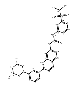 C[C@@H]1CN(c2cccc(-c3ccc4cnc(CC(=O)Nc5cccc(S(=O)(=O)C(F)F)c5)cc4n3)n2)C[C@H](C)O1